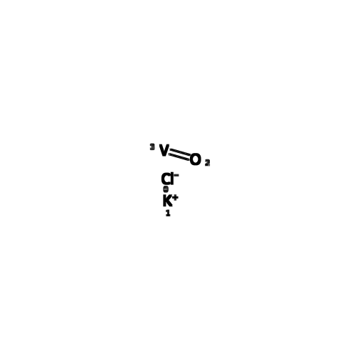 [Cl-].[K+].[O]=[V]